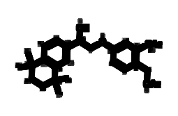 CC(=O)OCc1ccc(OCC(O)c2ccc3c(c2)C(C)(C)CCC3(C)C)cc1OC(C)=O